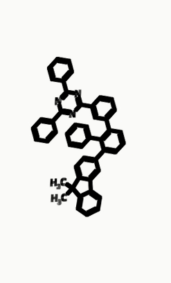 CC1(C)c2ccccc2-c2cc(-c3cccc(-c4cccc(-c5nc(-c6ccccc6)nc(-c6ccccc6)n5)c4)c3-c3ccccc3)ccc21